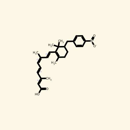 CC1=C(/C=C/C(C)=C\C=C\C(C)=C\C(=O)O)C(C)(C)C(Cc2ccc([N+](=O)[O-])cc2)CC1